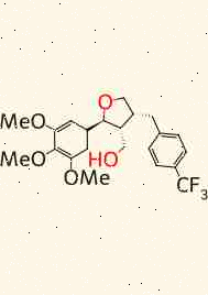 COC1=CC([C@H]2OC[C@H](Cc3ccc(C(F)(F)F)cc3)[C@@H]2CO)CC(OC)=C1OC